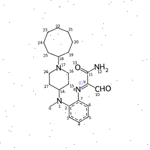 CN(c1ccccc1/N=C(\C=O)C(N)=O)C1CCN(C2CCCCCCC2)CC1